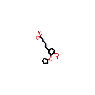 COC(=O)/C=C/C=C/c1ccc(OC)c(OC2CCCC2)c1